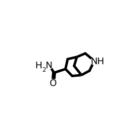 NC(=O)C1CC2CNCC(C2)C1